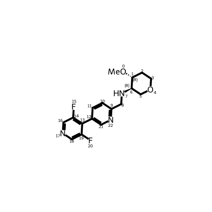 CO[C@@H]1CCOC[C@H]1NCc1ccc(-c2c(F)cncc2F)cn1